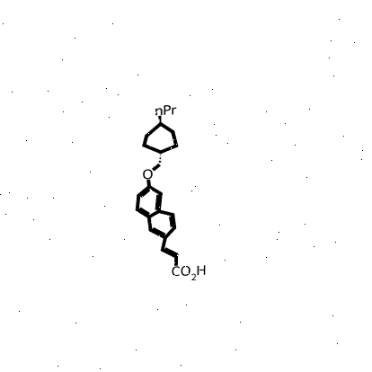 CCC[C@H]1CC[C@H](COc2ccc3cc(/C=C/C(=O)O)ccc3c2)CC1